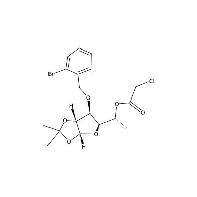 C[C@@H](OC(=O)CCl)[C@H]1O[C@@H]2OC(C)(C)O[C@@H]2[C@H]1OCc1ccccc1Br